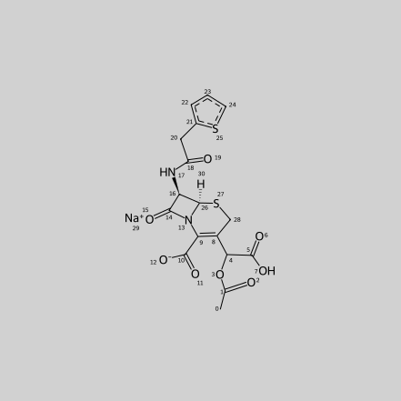 CC(=O)OC(C(=O)O)C1=C(C(=O)[O-])N2C(=O)[C@@H](NC(=O)Cc3cccs3)[C@H]2SC1.[Na+]